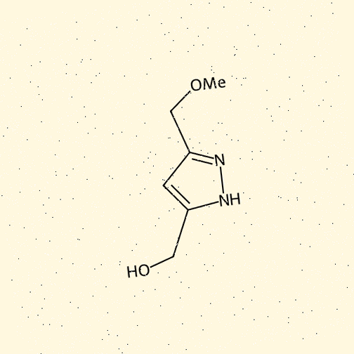 COCc1cc(CO)[nH]n1